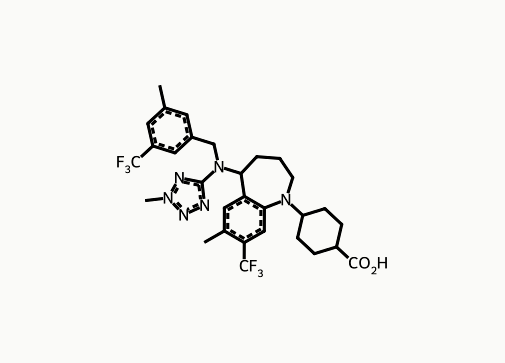 Cc1cc(CN(c2nnn(C)n2)C2CCCN(C3CCC(C(=O)O)CC3)c3cc(C(F)(F)F)c(C)cc32)cc(C(F)(F)F)c1